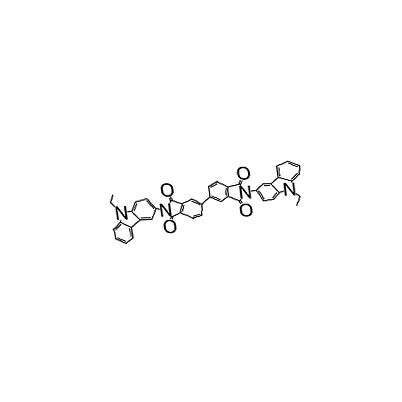 CCn1c2ccccc2c2cc(N3C(=O)c4ccc(-c5ccc6c(c5)C(=O)N(c5ccc7c(c5)c5ccccc5n7CC)C6=O)cc4C3=O)ccc21